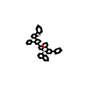 c1ccc(-c2ccc(N(c3ccc(-c4ccc(-c5cccc6c5oc5ccccc56)c(-c5ccccc5)c4)cc3)c3cccc4ccccc34)c(-c3ccccc3)c2)cc1